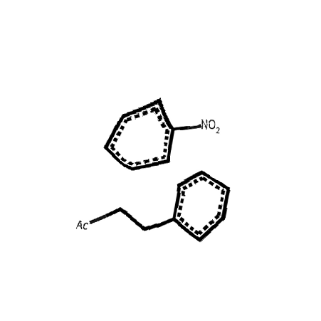 CC(=O)CCc1ccccc1.O=[N+]([O-])c1ccccc1